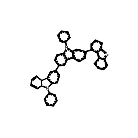 C1=CC2c3cc(-c4ccc5c(c4)c4ccc(-c6cccc7sc8ccccc8c67)cc4n5-c4ccccc4)ccc3N(c3ccccc3)C2C=C1